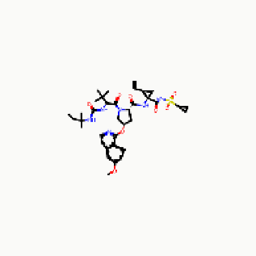 C=CC1C[C@]1(NC(=O)[C@@H]1C[C@@H](Oc2nccc3cc(OC)ccc23)CN1C(=O)[C@@H](NC(=O)NC(C)(C)CC)C(C)(C)C)C(=O)NS(=O)(=O)C1CC1